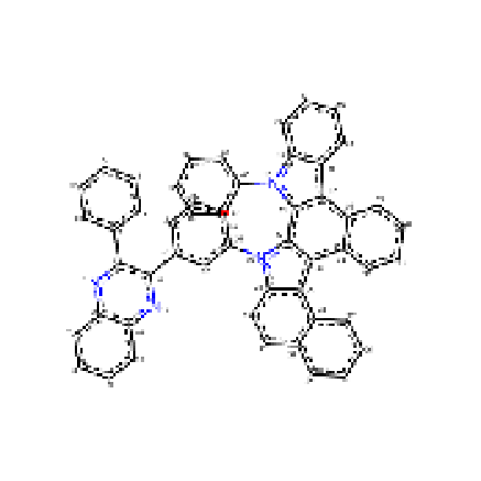 c1ccc(-c2nc3ccccc3nc2-c2cccc(-n3c4ccc5ccccc5c4c4c5ccccc5c5c6ccccc6n(-c6ccccc6)c5c43)c2)cc1